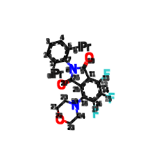 CC(C)c1cccc(C(C)C)c1N1C(=O)c2c(F)c(F)c(F)c(N3CCOCC3)c2C1=O